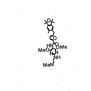 CNCCNc1nc(OC)c(NC(=O)c2ccc(Cc3cc4c(cc3C)C(C)(C)OC4(C)C)o2)c(OC)n1